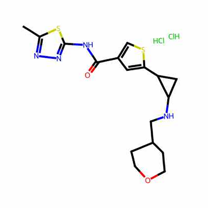 Cc1nnc(NC(=O)c2csc(C3CC3NCC3CCOCC3)c2)s1.Cl.Cl